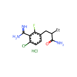 CCC(Cc1ccc(Cl)c(C(=N)N)c1F)C(N)=O.Cl